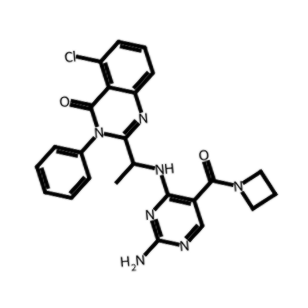 CC(Nc1nc(N)ncc1C(=O)N1CCC1)c1nc2cccc(Cl)c2c(=O)n1-c1ccccc1